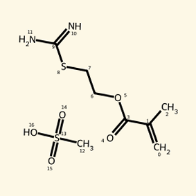 C=C(C)C(=O)OCCSC(=N)N.CS(=O)(=O)O